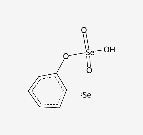 O=[Se](=O)(O)Oc1ccccc1.[Se]